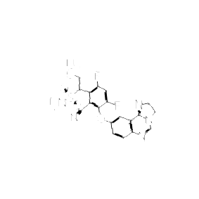 CCC(c1c(F)cc(F)c(Oc2ccc3c(c2)C2=NCCN2C=N3)c1C#N)S(N)(=O)=O